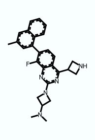 Cc1cc(-c2ccc3c(C4CNC4)nc(N4CC(N(C)C)C4)nc3c2F)c2ccccc2c1